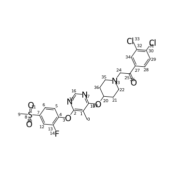 Cc1c(Oc2ccc(S(C)(=O)=O)cc2F)ncnc1OC1CCN(CC(=O)c2ccc(Cl)c(Cl)c2)CC1